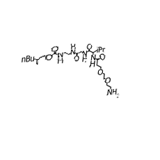 CCCCC(C)COC(=O)NCCNC(=O)CNC(=O)C(NC(=O)CCOCCOCCN)C(C)C